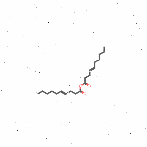 CCCCCC=CCCC(=O)OC(=O)CCC=CCCCCC